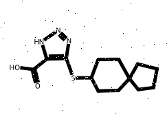 O=C(O)c1[nH]nnc1SC1CCC2(CCCC2)CC1